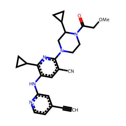 C#Cc1ccnc(Nc2cc(C#N)c(N3CCN(C(=O)COC)C(C4CC4)C3)nc2C2CC2)c1